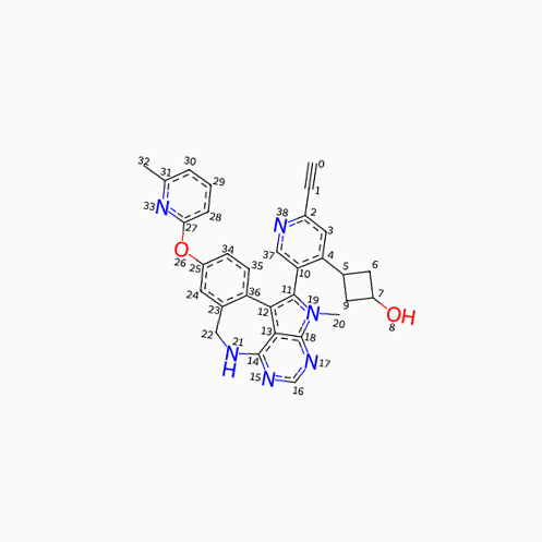 C#Cc1cc(C2CC(O)C2)c(-c2c3c4c(ncnc4n2C)NCc2cc(Oc4cccc(C)n4)ccc2-3)cn1